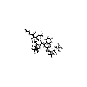 C=CCNC(=O)C(=O)C(CC(F)(F)F)NC(=O)[C@@H]1[C@@H]2[C@H](CN1C(=O)[C@@H](NC(=O)N[C@H](CN(C)S(=O)(=O)N(C)C)C(C)(C)C)C1CCCCC1)C2(C)C